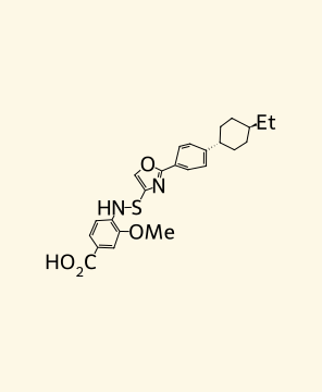 CC[C@H]1CC[C@H](c2ccc(-c3nc(SNc4ccc(C(=O)O)cc4OC)co3)cc2)CC1